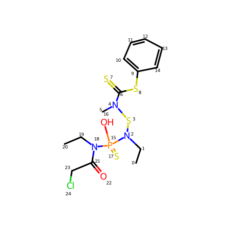 CCN(SN(C)C(=S)Sc1ccccc1)P(O)(=S)N(CC)C(=O)CCl